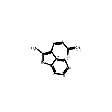 C=C(Cl)/C=C\c1c(N)[nH]c2ccccc12